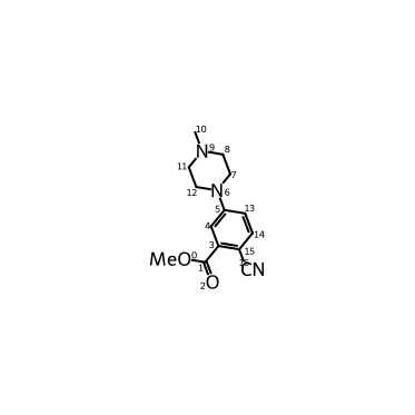 COC(=O)c1cc(N2CCN(C)CC2)ccc1C#N